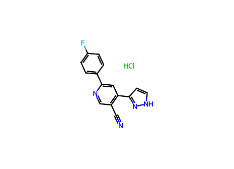 Cl.N#Cc1cnc(-c2ccc(F)cc2)cc1-c1cc[nH]n1